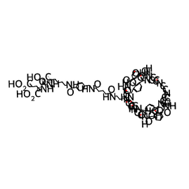 O=C(O)CC[C@H](NC(=O)N[C@@H](CCCCNC(=O)c1ccc(CNC(=O)CCCC(=O)NCCCCC2CN3CCNC(=O)c4cccc(c4O)C(=O)NCCN4CCNC(=O)c5cccc(c5O)C(=O)NCCN(CCNC(=O)c5cccc(c5O)C(=O)NCCN(CCNC(=O)c5cccc(c5O)C(=O)N2)CC4)CC3)cc1)C(=O)O)C(=O)O